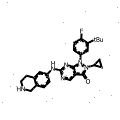 CC(C)(C)c1cc(-n2c3nc(Nc4ccc5c(c4)CCNC5)ncc3c(=O)n2C2CC2)ccc1F